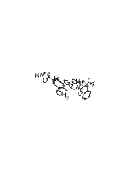 CNC(=O)c1ccc(C[C@@H](CNC(=O)CC(c2ccccc2)C2(C(F)(F)F)CC2)N(C)C)c(C)c1